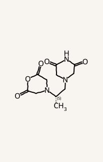 C[C@@H](CN1CC(=O)NC(=O)C1)N1CC(=O)OC(=O)C1